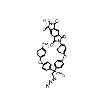 CC1=CC=C(Oc2ccc(C(C)(CN=[N+]=[N-])c3ccc(OC4=CC=C(n5c(=O)c6cc7c(=O)n(C)c(=O)c7cc6c5=O)CC4)cc3)cc2)CC1